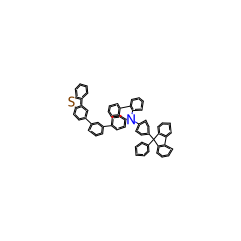 c1ccc(-c2ccccc2N(c2ccc(-c3cccc(-c4ccc5sc6ccccc6c5c4)c3)cc2)c2ccc(C3(c4ccccc4)c4ccccc4-c4ccccc43)cc2)cc1